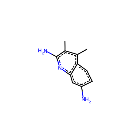 Cc1c(N)nc2cc(N)ccc2c1C